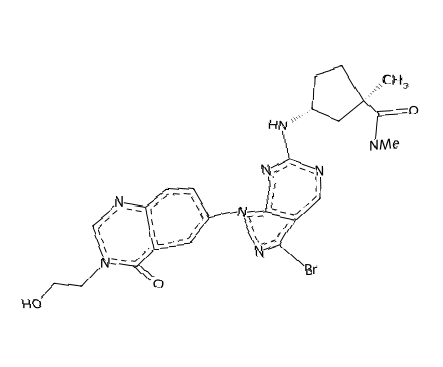 CNC(=O)[C@]1(C)CC[C@@H](Nc2ncc3c(Br)nn(-c4ccc5ncn(CCO)c(=O)c5c4)c3n2)C1